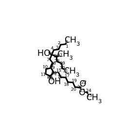 CCCCCC(O)(CC=C1CC[C@H](O)[C@@H]1CCCCCCC(=O)OCC)C(C)CCCC